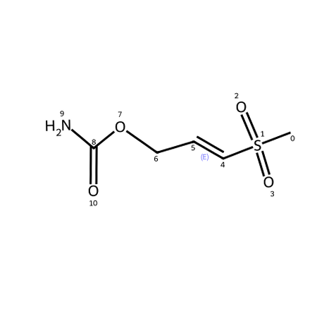 CS(=O)(=O)/C=C/COC(N)=O